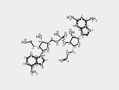 Nc1nc(N)c2ncn([C@@H]3O[C@H](COP=O)[C@@H](O[P@](=O)(S)OC[C@H]4O[C@@H](n5cnc6c(N)ncnc65)[C@H](CCS)[C@@H]4O)[C@H]3O)c2n1